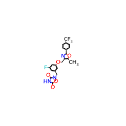 Cc1oc(-c2ccc(C(F)(F)F)cc2)nc1COc1cc(F)cc(Cn2oc(=O)[nH]c2=O)c1